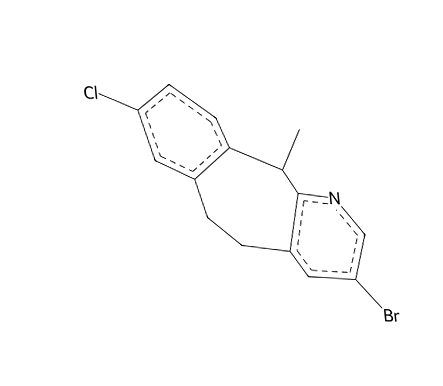 CC1c2ccc(Cl)cc2CCc2cc(Br)cnc21